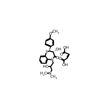 COc1ccc([C@@H]2Sc3ccccc3N(CC(O)CN(C)C)C(=O)[C@H]2O)cc1.O=C(O)/C=C\C(=O)O